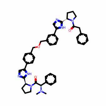 CN(C)[C@@H](C(=O)N1CCC[C@H]1c1ncc(-c2ccc(COCc3cccc(-c4cnc([C@@H]5CCCN5C(=O)Cc5ccccc5)[nH]4)c3)cc2)[nH]1)c1ccccc1